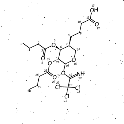 CCCC(=O)O[C@H]1[C@@H](CCCC(=O)O)COC(OC(=N)C(Cl)(Cl)Cl)[C@@H]1OC(=O)CCC